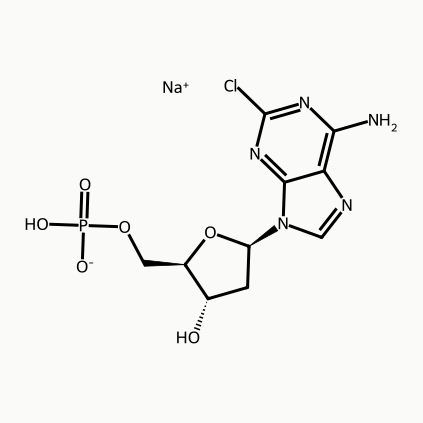 Nc1nc(Cl)nc2c1ncn2[C@H]1C[C@H](O)[C@@H](COP(=O)([O-])O)O1.[Na+]